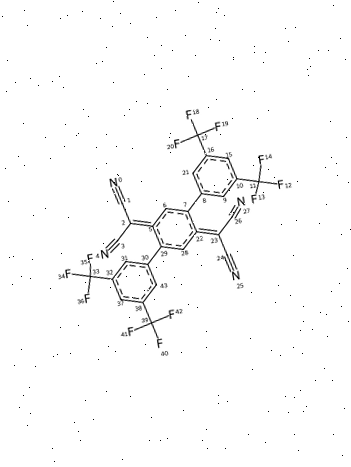 N#CC(C#N)=c1cc(-c2cc(C(F)(F)F)cc(C(F)(F)F)c2)c(=C(C#N)C#N)cc1-c1cc(C(F)(F)F)cc(C(F)(F)F)c1